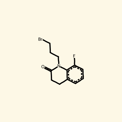 O=C1CCc2cccc(F)c2N1CCCBr